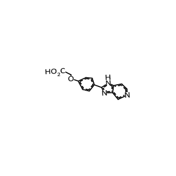 O=C(O)COc1ccc(-c2nc3cnccc3[nH]2)cc1